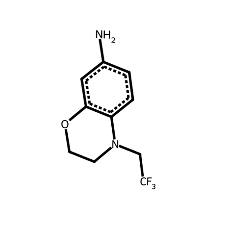 Nc1ccc2c(c1)OCCN2CC(F)(F)F